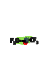 O=C(N(F)N(F)N(F)C(F)(F)C(F)(F)C(F)(F)C(F)(F)F)C(F)(F)C(F)(F)C(F)(F)C(F)(F)C(F)(F)C(F)(F)C(F)(F)F